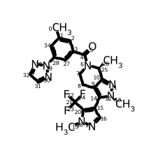 Cc1cc(C(=O)N2CCc3c(nn(C)c3-c3cnn(C)c3C(F)(F)F)[C@@H]2C)cc(-n2nccn2)c1